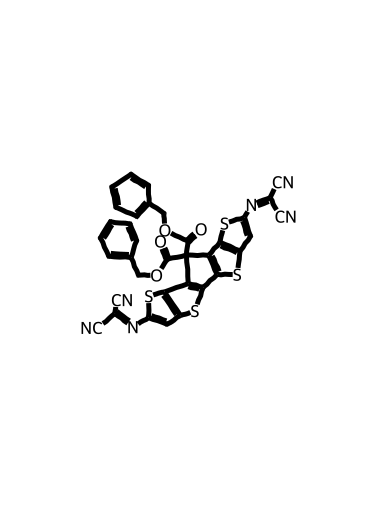 N#CC(C#N)=Nc1cc2sc3c(c2s1)C(C(=O)OCc1ccccc1)(C(=O)OCc1ccccc1)c1c-3sc2cc(N=C(C#N)C#N)sc12